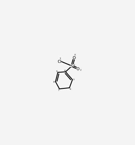 O=S(=O)(Cl)C1=CC[CH]C=C1